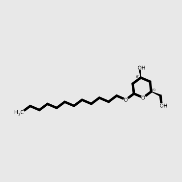 CCCCCCCCCCCCOC1C[C@@H](O)C[C@@H](CO)O1